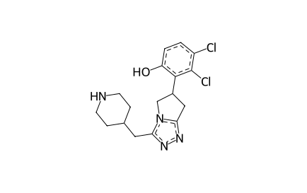 Oc1ccc(Cl)c(Cl)c1C1Cc2nnc(CC3CCNCC3)n2C1